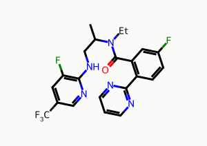 CCN(C(=O)c1cc(F)ccc1-c1ncccn1)C(C)CNc1ncc(C(F)(F)F)cc1F